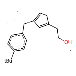 CC(C)(C)c1ccc(CC2=CCC(CCO)=C2)cc1